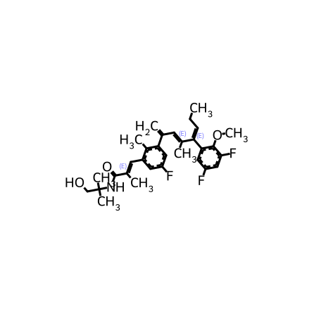 C=C(/C=C(C)/C(=C\CC)c1cc(F)cc(F)c1OC)c1cc(F)cc(/C=C(\C)C(=O)NC(C)(C)CO)c1C